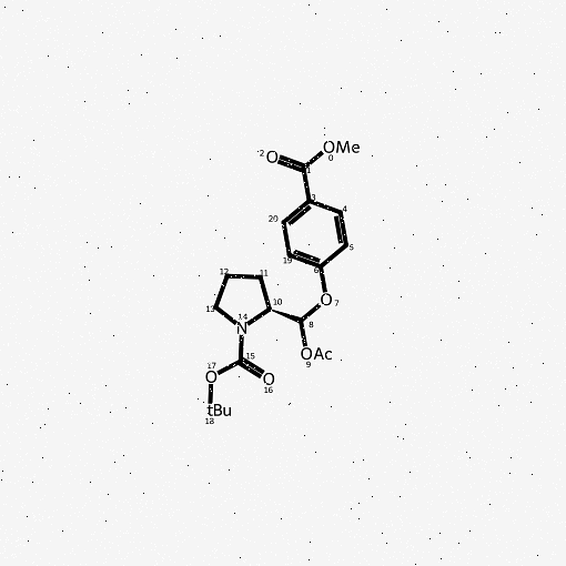 COC(=O)c1ccc(OC(OC(C)=O)[C@@H]2CCCN2C(=O)OC(C)(C)C)cc1